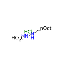 CCCCCCCCCCCCNCCNCC(=O)O.Cl